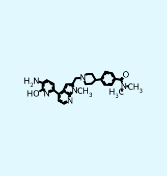 CN(C)C(=O)c1ccc(C2CCN(Cc3cc4c(-c5ccc(N)c(O)n5)ccnc4n3C)CC2)cc1